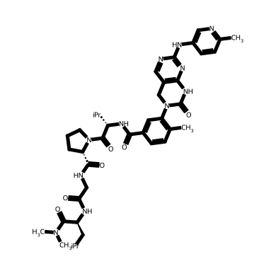 Cc1ccc(Nc2ncc3c(n2)NC(=O)N(c2cc(C(=O)N[C@H](C(=O)N4CCC[C@H]4C(=O)NCC(=O)N[C@@H](CC(C)C)C(=O)N(C)C)C(C)C)ccc2C)C3)cn1